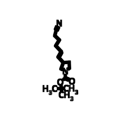 CC(C)(C)OC(=O)N1CCC(/C=C/CCCC#N)C1